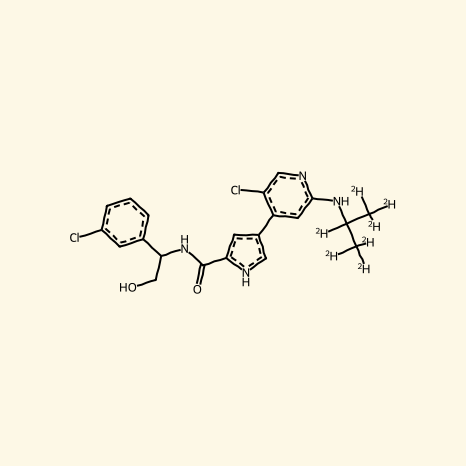 [2H]C([2H])([2H])C([2H])(Nc1cc(-c2c[nH]c(C(=O)NC(CO)c3cccc(Cl)c3)c2)c(Cl)cn1)C([2H])([2H])[2H]